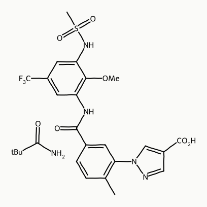 CC(C)(C)C(N)=O.COc1c(NC(=O)c2ccc(C)c(-n3cc(C(=O)O)cn3)c2)cc(C(F)(F)F)cc1NS(C)(=O)=O